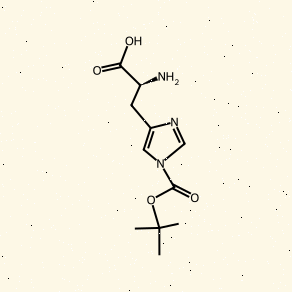 CC(C)(C)OC(=O)n1cnc(C[C@H](N)C(=O)O)c1